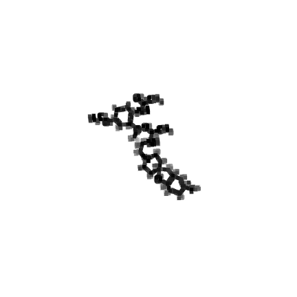 COc1ccc(NC(C)=O)c(OC[C@@H](CN2CCC3(CC2)Cc2cc(F)ccc2O3)NC(C)=O)c1